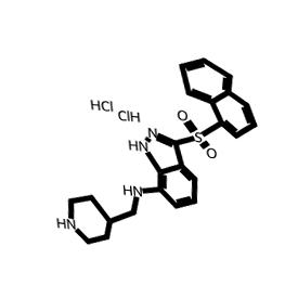 Cl.Cl.O=S(=O)(c1cccc2ccccc12)c1n[nH]c2c(NCC3CCNCC3)cccc12